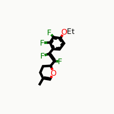 CCOc1ccc(/C(F)=C(\F)C2CCC(C)=CO2)c(F)c1F